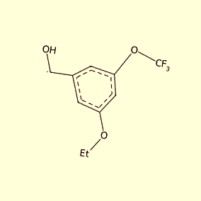 CCOc1cc([CH]O)cc(OC(F)(F)F)c1